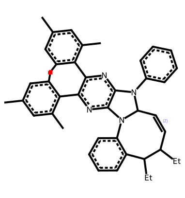 CCC1/C=C\C2N(c3ccccc3)c3nc(-c4c(C)cc(C)cc4C)c(-c4c(C)cc(C)cc4C)nc3N2c2ccccc2C1CC